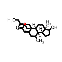 CCC(=O)OC[C@]12CCC(=O)C=C1CC(C)[C@@H]1[C@H]2CC[C@]2(C)C(O)CC[C@@H]12